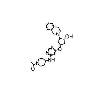 CC(=O)N1CCC(Nc2cc(O[C@H]3CC(N4CCc5ccccc5C4)[C@H](O)C3)ncn2)CC1